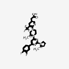 C[C@H]1CN(c2ncc(CC(=O)O)cc2C(F)(F)F)CCN1c1cc(-c2ccc(F)c(F)c2)nc(N2CCC[C@@H]2C)n1